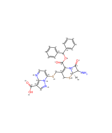 NC1C(=O)N2C(C(=O)OC(c3ccccc3)c3ccccc3)=C(CSc3ccnc4c(C(=O)O)cnn34)CS[C@H]12